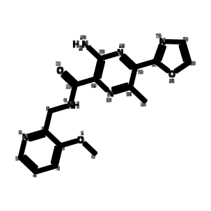 COc1cccnc1CNC(=O)c1nc(C)c(-c2ncco2)nc1N